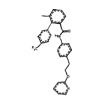 Cc1cccc(C(=O)Nc2ccc(CCOc3ccccn3)cc2)c1-c1ccc(C(F)(F)F)cc1